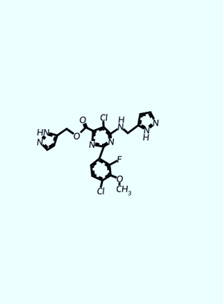 COc1c(Cl)ccc(-c2nc(NCc3ccn[nH]3)c(Cl)c(C(=O)OCc3ccn[nH]3)n2)c1F